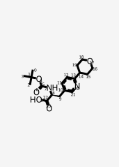 CC(C)(C)OC(=O)N[C@@H](Cc1ccc(C2CCOCC2)nc1)C(=O)O